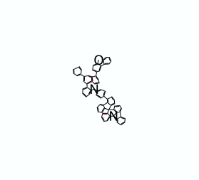 c1ccc(-c2cccc(-c3ccccc3N(c3ccc(-c4ccc5oc6ccccc6c5c4)cc3)c3ccc(-c4cccc5c4-c4ccccc4C54c5ccccc5-n5c6ccccc6c6cccc4c65)cc3)c2)cc1